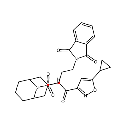 O=C(NC1CC2CCCC(C1)N2S(=O)(=O)CCCN1C(=O)c2ccccc2C1=O)c1cc(C2CC2)on1